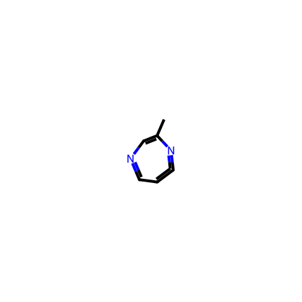 CC1=CN=CC=C=N1